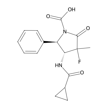 CC1(F)C(=O)N(C(=O)O)[C@H](c2ccccc2)[C@H]1NC(=O)C1CC1